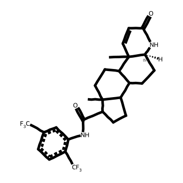 CC12CCC3C(CC[C@@H]4NC(=O)C=CC34C)C1CCC2C(=O)Nc1cc(C(F)(F)F)ccc1C(F)(F)F